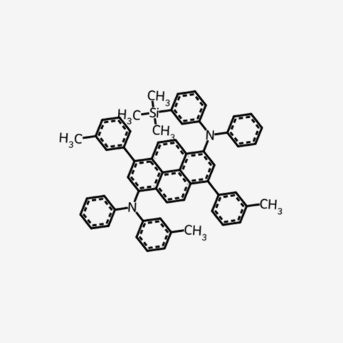 Cc1cccc(-c2cc(N(c3ccccc3)c3cccc(C)c3)c3ccc4c(-c5cccc(C)c5)cc(N(c5ccccc5)c5cccc([Si](C)(C)C)c5)c5ccc2c3c45)c1